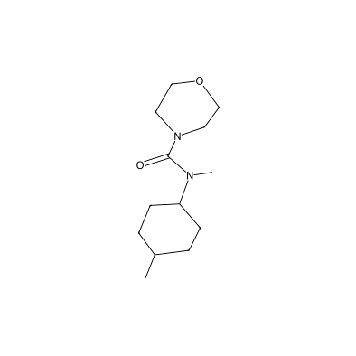 CC1CCC(N(C)C(=O)N2CCOCC2)CC1